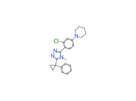 Cn1c(-c2ccc(N3CCCCC3)cc2Cl)nnc1C1(c2ccccc2)CC1